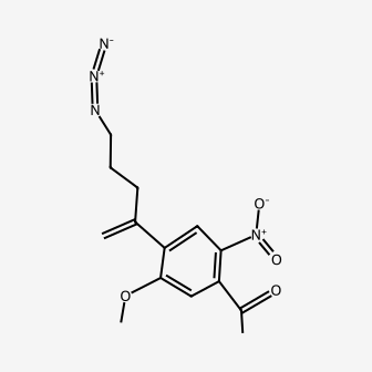 C=C(CCCN=[N+]=[N-])c1cc([N+](=O)[O-])c(C(C)=O)cc1OC